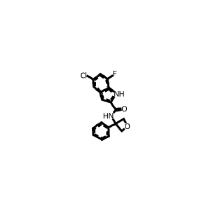 O=C(NC1(c2ccccc2)COC1)c1cc2cc(Cl)cc(F)c2[nH]1